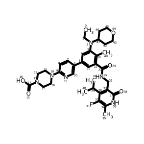 CCN(c1cc(-c2ccc(N3CCN(C(=O)O)CC3)nc2)cc(C(=O)NCc2c(C(C)C)c(F)c(C)[nH]c2=O)c1C)C1CCOCC1